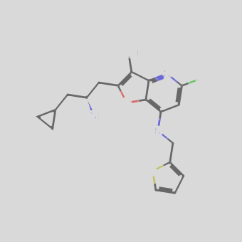 Cc1c(C[C@@H](N)CC2CC2)oc2c(NCc3cccs3)cc(Cl)nc12